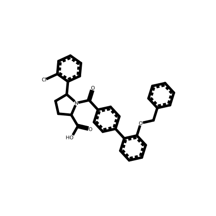 O=C(O)C1CCC(c2ccccc2Cl)N1C(=O)c1ccc(-c2ccccc2OCc2ccccc2)cc1